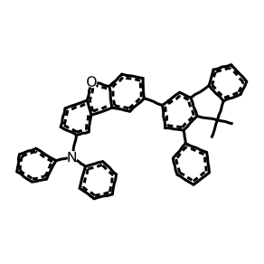 CC1(C)c2ccccc2-c2cc(-c3ccc4oc5ccc(N(c6ccccc6)c6ccccc6)cc5c4c3)cc(-c3ccccc3)c21